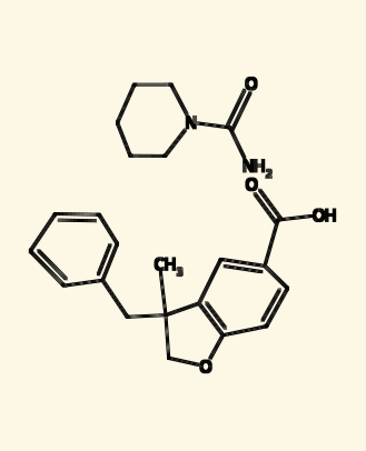 CC1(Cc2ccccc2)COc2ccc(C(=O)O)cc21.NC(=O)N1CCCCC1